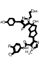 Cn1cnc(C2CC3CC(O)(c4c(F)c(C5=CCC(O)CC5)nn4CCO)CC3C2)c1C(=O)Nc1ccc(F)c(Cl)c1